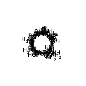 CCCC[C@H]1C(=O)N(C)[C@@H](C)C(=O)N[C@@H](CCCNC(=N)N)C(=O)NC(C(=O)NCC(N)=O)CSCC(=O)N[C@@H](Cc2ccc(O)cc2)C(=O)N(C)[C@@H](C)C(=O)N[C@@H](CC(N)=O)C(=O)N2CCC[C@H]2C(=O)N[C@@H](CC(N)=O)C(=O)N[C@@H](CC(C)C)C(=O)N2C[C@H](O)C[C@H]2C(=O)N[C@@H](Cc2c[nH]c3ccccc23)C(=O)N[C@@H](CO)C(=O)N[C@@H](Cc2csc3ccccc23)C(=O)N1C